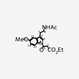 CCOC(=O)CC(=O)n1cc(CCNC(C)=O)c2cc(OC)ccc21